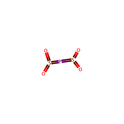 O=S(=O)=[P]=S(=O)=O